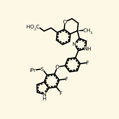 CC(C)Sc1c(Oc2ccc(F)c(-c3nc([C@@]4(C)CCOc5c(CCC(=O)O)cccc54)c[nH]3)c2)c(F)c(F)c2[nH]ccc12